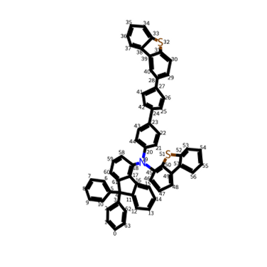 c1ccc(C2(c3ccccc3)c3ccccc3-c3c(N(c4ccc(-c5ccc(-c6ccc7sc8ccccc8c7c6)cc5)cc4)c4cccc5c4sc4ccccc45)cccc32)cc1